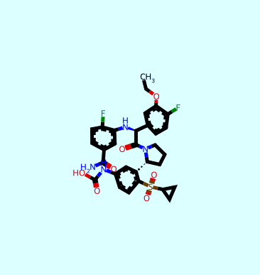 CCOc1cc([C@H](Nc2cc(C(N)=O)ccc2F)C(=O)N2CCC[C@@H]2c2cc(NC(=O)O)ccc2S(=O)(=O)C2CC2)ccc1F